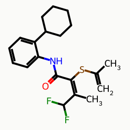 C=C(C)S/C(C(=O)Nc1ccccc1C1CCCCC1)=C(\C)C(F)F